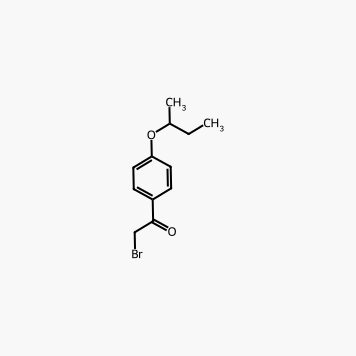 CCC(C)Oc1ccc(C(=O)CBr)cc1